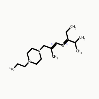 CC/C(=N\C=C(/C)CN1CCN(CCO)CC1)C(C)C